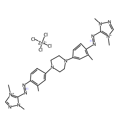 Cc1cc(N2CCN(c3ccc(/N=N/c4n(C)nc[n+]4C)c(C)c3)CC2)ccc1/N=N/c1n(C)nc[n+]1C.[Cl][Zn-2]([Cl])([Cl])[Cl]